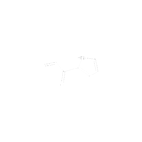 C=CC(=O)c1ccc[nH]1